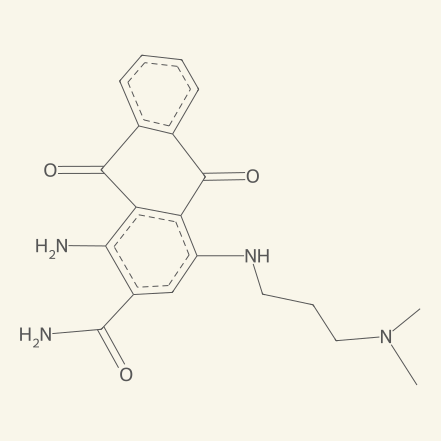 CN(C)CCCNc1cc(C(N)=O)c(N)c2c1C(=O)c1ccccc1C2=O